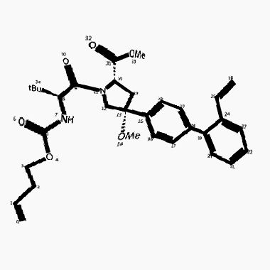 C=CCCOC(=O)N[C@H](C(=O)N1C[C@](OC)(c2ccc(-c3ccccc3C=C)cc2)C[C@H]1C(=O)OC)C(C)(C)C